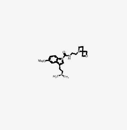 COc1ccc2c(c1)c(CCN(C)C)cn2C(=O)NCCN1CCC12COC2